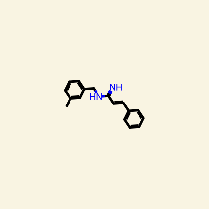 Cc1cccc(CNC(=N)/C=C/c2ccccc2)c1